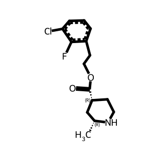 C[C@@H]1C[C@H](C(=O)OCCc2cccc(Cl)c2F)CCN1